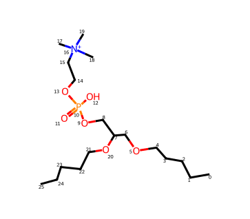 CCCCCOCC(COP(=O)(O)OCC[N+](C)(C)C)OCCCCC